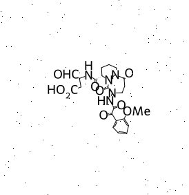 COc1ccccc1C(=O)C(=O)NN1CCC(=O)N2CCC[C@@H](C(=O)N[C@H](C=O)CC(=O)O)N2C1=O